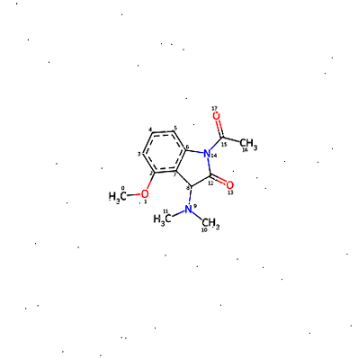 COc1cccc2c1C(N(C)C)C(=O)N2C(C)=O